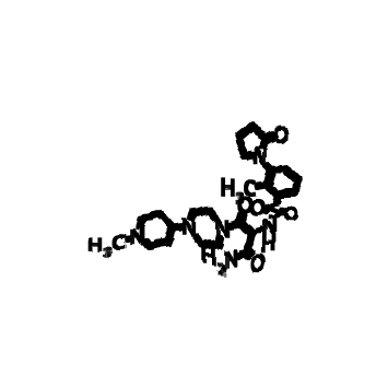 Cc1c(N2CCCC2=O)cccc1S(=O)(=O)N[C@@H](C(N)=O)C(=O)N1CCN(C2CCN(C)CC2)CC1